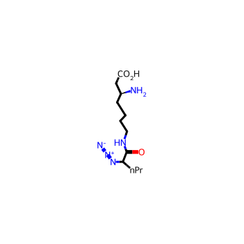 CCCC(N=[N+]=[N-])C(=O)NCCCC[C@H](N)CC(=O)O